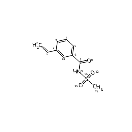 C=Cc1cccc(C(=O)NS(C)(=O)=O)c1